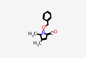 CC1=CC(=C=O)N(OCc2ccccc2)C1C